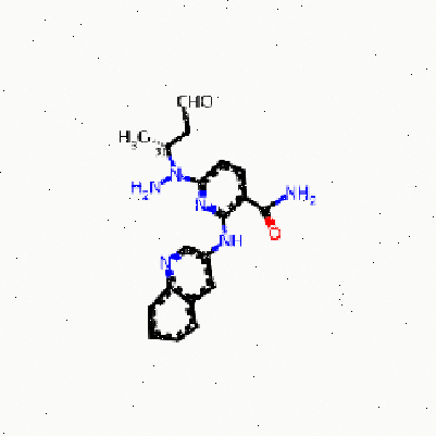 C[C@H](CC=O)N(N)c1ccc(C(N)=O)c(Nc2cnc3ccccc3c2)n1